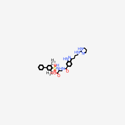 Cc1cc(-c2ccccc2)cc(C)c1S(=O)(=O)NC(CNC(=O)c1ccc2c(CCCNC3N=CCCN3)n[nH]c2c1)C(=O)O